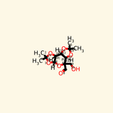 CC1(C)O[C@H]2OC(C=O)(CO)[C@@H]3OC(C)(C)O[C@@H]3[C@H]2O1